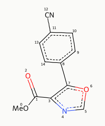 COC(=O)c1ncoc1-c1ccc(C#N)cc1